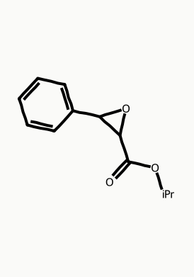 CC(C)OC(=O)C1OC1c1ccccc1